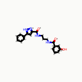 O=C(NCCCNC(=O)c1cc(-c2ccccc2)[nH]n1)c1cccc(O)c1